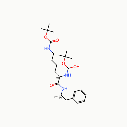 C[C@@H](Cc1ccccc1)NC(=O)[C@H](CCCCNC(=O)OC(C)(C)C)NC(O)OC(C)(C)C